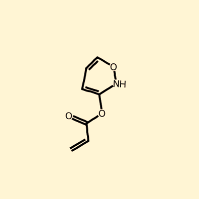 C=CC(=O)OC1=CC=CON1